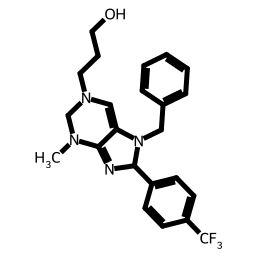 CN1CN(CCCO)C=C2C1=NC(c1ccc(C(F)(F)F)cc1)N2Cc1ccccc1